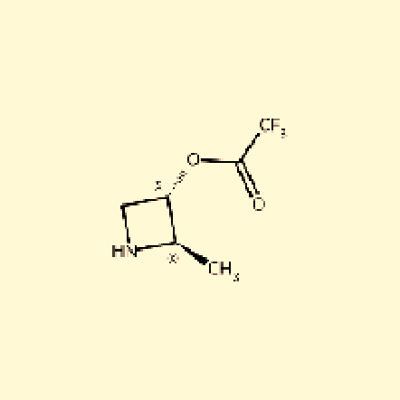 C[C@H]1NC[C@@H]1OC(=O)C(F)(F)F